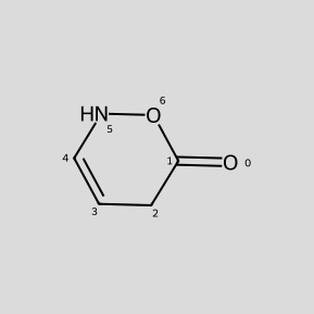 O=C1CC=CNO1